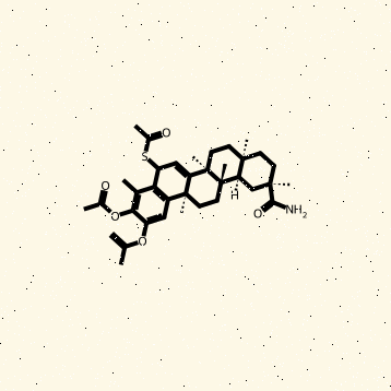 C=C(C)Oc1cc2c(c(C)c1OC(C)=O)C(SC(C)=O)C=C1[C@@]2(C)CC[C@@]2(C)[C@@H]3C[C@](C)(C(N)=O)CC[C@]3(C)CC[C@]12C